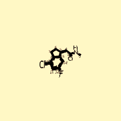 CNC(=O)/C=C1/CCc2c(Cl)cc(F)cc21